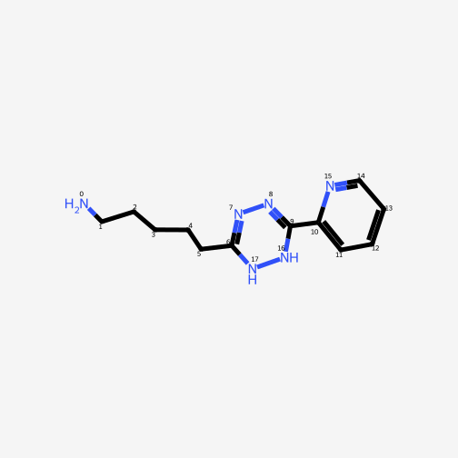 NCCCCCC1=NN=C(c2ccccn2)NN1